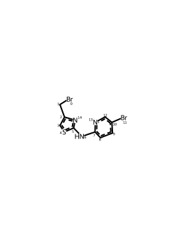 BrCc1csc(Nc2ccc(Br)cn2)n1